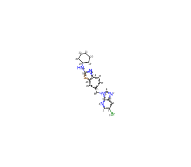 Brc1cnc2c(c1)ncn2Cc1ccc2nc(NC3CCCCC3)sc2c1